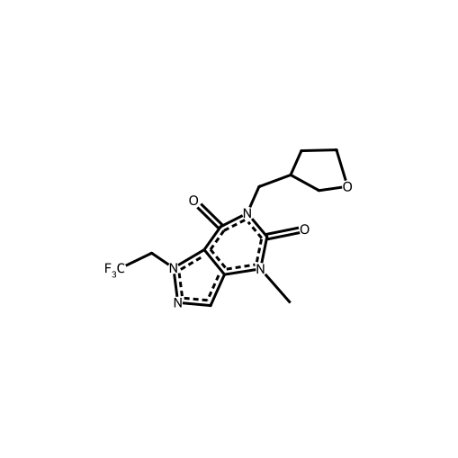 Cn1c(=O)n(CC2CCOC2)c(=O)c2c1cnn2CC(F)(F)F